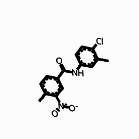 Cc1cc(NC(=O)c2ccc(C)c([N+](=O)[O-])c2)ccc1Cl